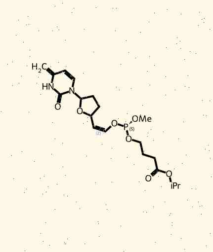 C=C1C=CN(C2CCC(/C=C\O[P@](OC)OCCCC(=O)OC(C)C)O2)C(=O)N1